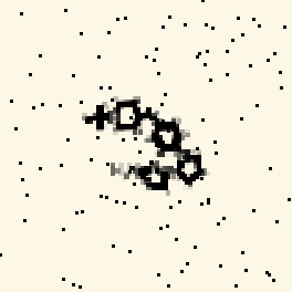 CC(C)(C)N1CCC(Oc2ccc(N3CCC[C@@H]3c3csc(N)n3)cc2)CC1